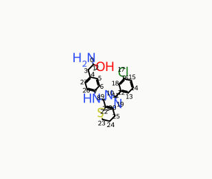 NC(O)Cc1ccc(Nc2nc(-c3cccc(Cl)c3)nc3c2SCCC3)cc1